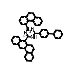 NC(N/C(=N\Cc1cccc2ccc3ccccc3c12)c1c2ccccc2cc2c1ccc1ccccc12)c1ccc(-c2ccccc2)cc1